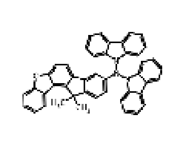 CC1(C)c2ccc(N(n3c4ccccc4c4ccccc43)n3c4ccccc4c4ccccc43)cc2-c2ccc3oc4ccccc4c3c21